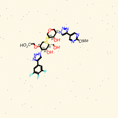 COc1ncc(-c2cn([C@H]3COC[C@@H]([SH]4C[C@H](OCC(=O)O)[C@@H](n5cc(-c6cc(F)c(F)c(F)c6)nn5)[C@@H](O)[C@H]4CO)[C@@H]3O)nn2)cn1